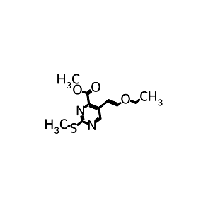 CCOC=Cc1cnc(SC)nc1C(=O)OC